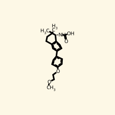 COCCOc1ccc(-c2ccc3c(c2)CCC(C)(C)[C@@H]3NC(=O)O)cc1